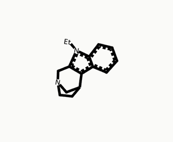 CCn1c2c(c3ccccc31)C1CCN(C2)C1